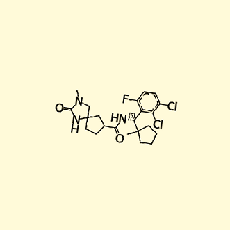 CN1CC2(CCC(C(=O)N[C@H](c3c(F)ccc(Cl)c3Cl)C3(C)CCCC3)C2)NC1=O